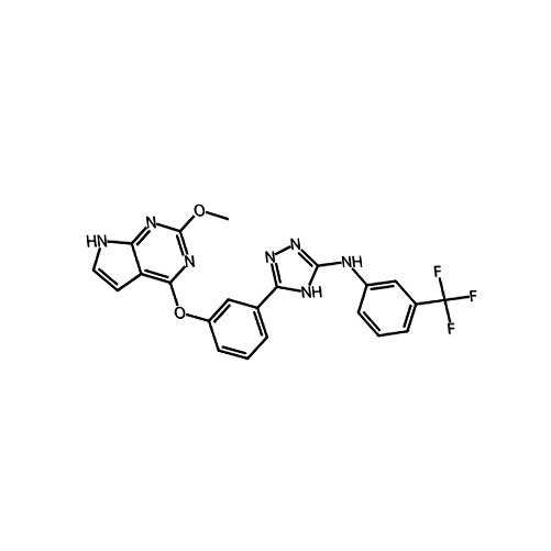 COc1nc(Oc2cccc(-c3nnc(Nc4cccc(C(F)(F)F)c4)[nH]3)c2)c2cc[nH]c2n1